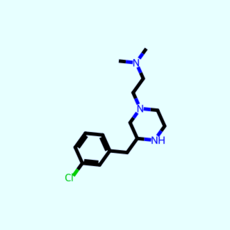 CN(C)CCN1CCNC(Cc2cccc(Cl)c2)C1